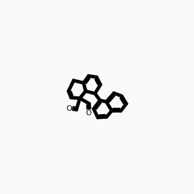 O=CC1(C=O)C=CCC2=CC=CC(c3cccc4ccccc34)C21